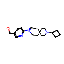 OCc1ccc(N2CCC3(CC2)CCN(C2CCC2)CC3)nc1